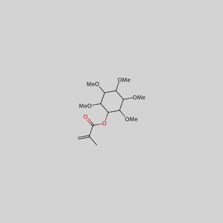 C=C(C)C(=O)OC1C(OC)C(OC)C(OC)C(OC)C1OC